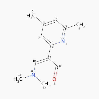 Cc1cc(C)nc(C(C=O)=CN(C)C)c1